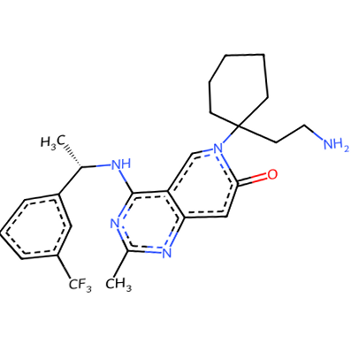 Cc1nc(N[C@@H](C)c2cccc(C(F)(F)F)c2)c2cn(C3(CCN)CCCCC3)c(=O)cc2n1